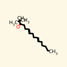 CCCCCC=CCCC=CCCC(=O)C(C)(C)C